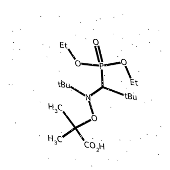 CCOP(=O)(OCC)C(N(OC(C)(C)C(=O)O)C(C)(C)C)C(C)(C)C